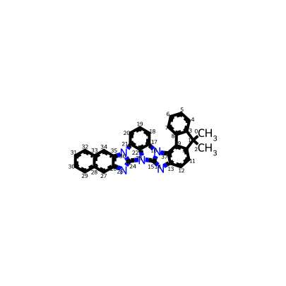 CC1(C)c2ccccc2-c2c1ccc1nc3n(c4cccc5c4n3c3nc4cc6ccccc6cc4n53)c21